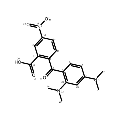 CN(C)c1ccc(C(=O)c2ccc([N+](=O)[O-])cc2C(=O)O)c(N(C)C)c1